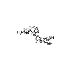 Cc1cc(Nc2ncnc3ccc(-c4ccc(N)nn4)cc23)ccc1Oc1cc(=N)n(C=N)cn1